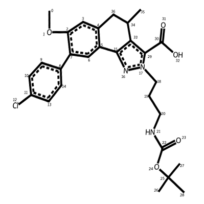 COc1cc2c(cc1-c1ccc(Cl)cc1)-c1nn(CCCNC(=O)OC(C)(C)C)c(C(=O)O)c1C(C)C2